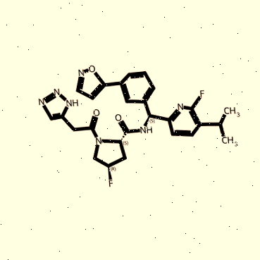 CC(C)c1ccc([C@@H](NC(=O)[C@@H]2C[C@@H](F)CN2C(=O)Cc2cnn[nH]2)c2cccc(-c3ccno3)c2)nc1F